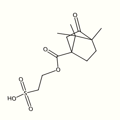 CC12CCC(C(=O)OCCS(=O)(=O)O)(CC1=O)C2(C)C